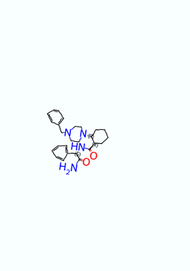 NC(=O)[C@@H](NC(=O)[C@@H]1CCCC[C@H]1N1CCN(Cc2ccccc2)CC1)c1ccccc1